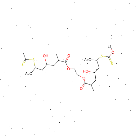 CCOC(=S)SC(CC(O)CC(C)C(=O)OCCOC(=O)C(C)CC(O)CC(OC(C)=O)SC(C)=S)OC(C)=O